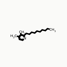 CCCCCCCCCCc1nccc(C)c1C